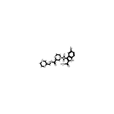 NC(=O)c1[nH]c2ccc(Br)cc2c1S(=O)(=O)N1CCOC(C(=O)NCC2COCCO2)C1